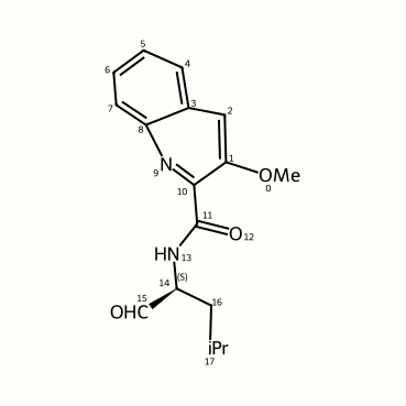 COc1cc2ccccc2nc1C(=O)N[C@H](C=O)CC(C)C